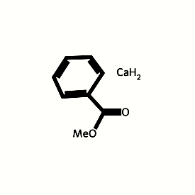 COC(=O)c1ccccc1.[CaH2]